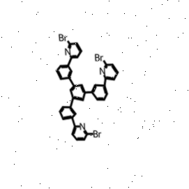 Brc1cccc(-c2cccc(-c3cc(-c4cccc(-c5cccc(Br)n5)c4)cc(-c4cccc(-c5cccc(Br)n5)c4)c3)c2)n1